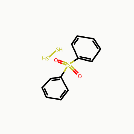 O=S(=O)(c1ccccc1)c1ccccc1.SS